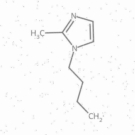 [CH2]CCCn1ccnc1C